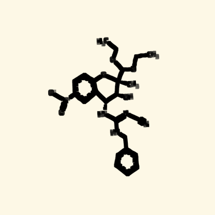 CCOC(OCC)[C@@]1(C)Oc2ccc([N+](=O)[O-])cc2[C@@H](NC(=NC#N)NCc2ccccc2)[C@@H]1O